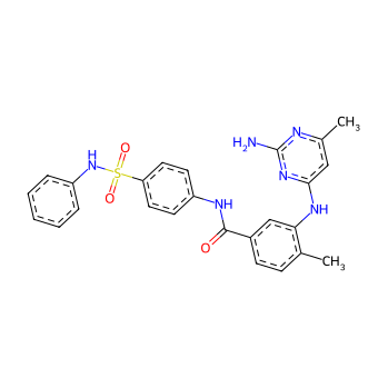 Cc1cc(Nc2cc(C(=O)Nc3ccc(S(=O)(=O)Nc4ccccc4)cc3)ccc2C)nc(N)n1